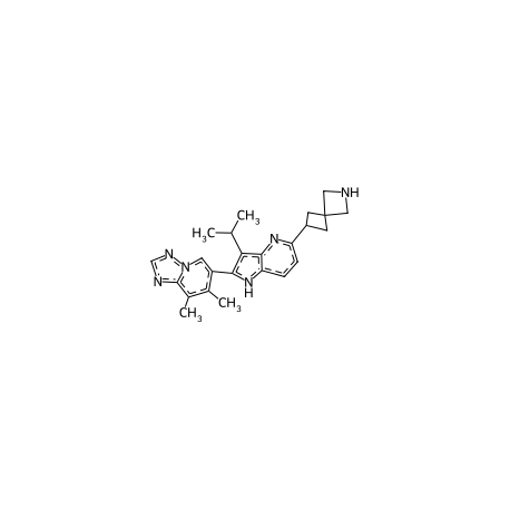 Cc1c(-c2[nH]c3ccc(C4CC5(CNC5)C4)nc3c2C(C)C)cn2ncnc2c1C